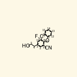 N#Cc1cc(CCO)ccc1Oc1ccccc1C(F)(F)F